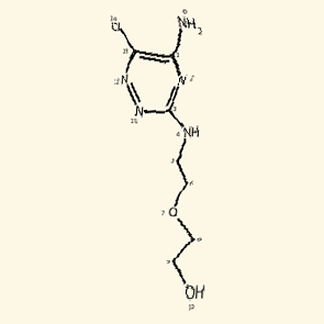 Nc1nc(NCCOCCO)nnc1Cl